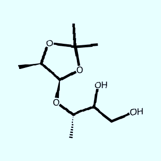 C[C@H](O[C@@H]1OC(C)(C)O[C@@H]1C)C(O)CO